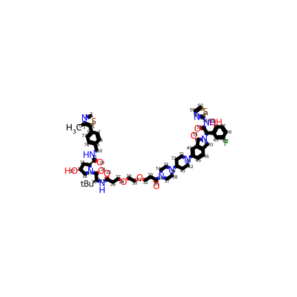 Cc1ncsc1-c1ccc(CNC(=O)[C@@H]2C[C@@H](O)CN2C(=O)[C@@H](NC(=O)CCOCCOCCC(=O)N2CCN(C3CCN(c4ccc5c(c4)C(=O)N(C(C(=O)Nc4nccs4)c4cc(F)ccc4O)C5)CC3)CC2)C(C)(C)C)cc1